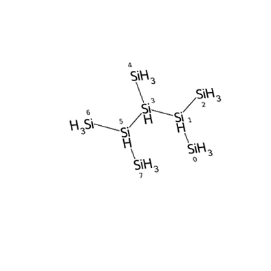 [SiH3][SiH]([SiH3])[SiH]([SiH3])[SiH]([SiH3])[SiH3]